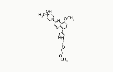 COCCOCCn1cc(-c2ccc(OC)c3nc(N4CCC(C)(O)CC4)cnc23)cn1